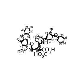 CCCC(NC(=O)[C@H]1[C@@H](C(=O)O)[C@H](C(=O)O)[C@@H]1C(=O)NC(CCC)c1ccc(Oc2ccccc2)c(C)c1)c1ccc(Oc2ccccc2)c(C)c1